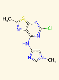 Cc1nc2c(Nc3cn(C)cn3)nc(Cl)nc2s1